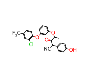 CC(Oc1cccc(Oc2ccc(C(F)(F)F)cc2Cl)c1)C(=O)C(C#N)c1ccc(O)cc1